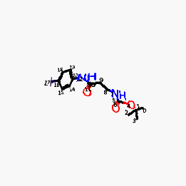 CC(C)(C)OC(=O)NCCC(=O)Nc1ccc(I)cc1